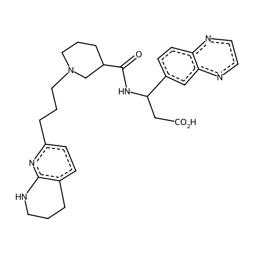 O=C(O)CC(NC(=O)C1CCCN(CCCc2ccc3c(n2)NCCC3)C1)c1ccc2nccnc2c1